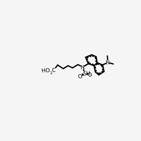 CN(C)c1cccc2c(N(CCCCCC(=O)O)[SH](=O)=O)cccc12